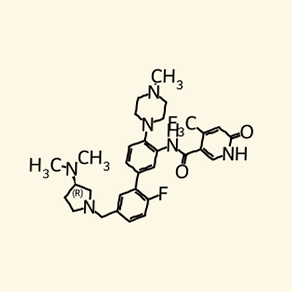 CN1CCN(c2ccc(-c3cc(CN4CC[C@@H](N(C)C)C4)ccc3F)cc2NC(=O)c2c[nH]c(=O)cc2C(F)(F)F)CC1